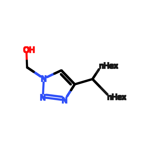 CCCCCCC(CCCCCC)c1cn(CO)nn1